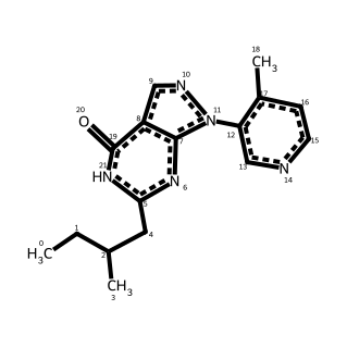 CCC(C)Cc1nc2c(cnn2-c2cnccc2C)c(=O)[nH]1